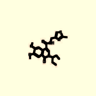 CCC(CC)n1cc(C(=O)NCc2csc(C)n2)c2cc(OC)c(OC)cc2c1=O